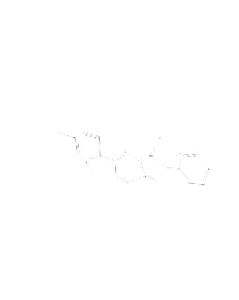 Cc1ccc(-c2ccc3nn(-c4ccccn4)c(=O)n3c2)c(C)c1